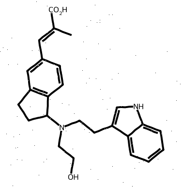 CC(=Cc1ccc2c(c1)CCC2N(CCO)CCc1c[nH]c2ccccc12)C(=O)O